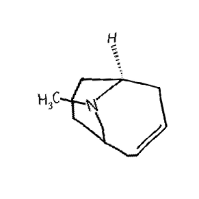 CN1C2C=CC[C@@H]1CC2